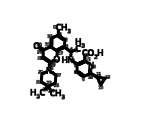 Cc1cc(C(C)Nc2ccc(C3CC3)nc2C(=O)O)c2oc(N3CCC(C)(C)CC3)cc(=O)c2c1